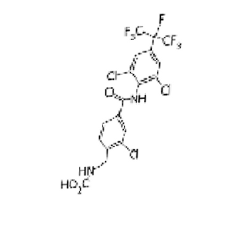 O=C(O)NCc1ccc(C(=O)Nc2c(Cl)cc(C(F)(C(F)(F)F)C(F)(F)F)cc2Cl)cc1Cl